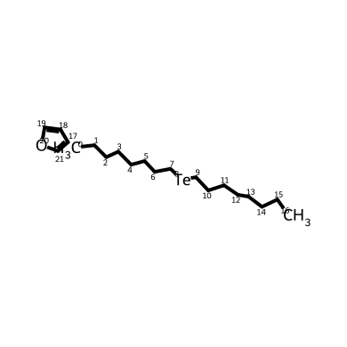 CCCCCCCC[Te]CCCCCCCC.c1ccoc1